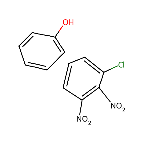 O=[N+]([O-])c1cccc(Cl)c1[N+](=O)[O-].Oc1ccccc1